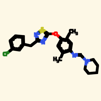 Cc1cc(Oc2nc(Cc3cccc(Cl)c3)ns2)c(C)cc1N=CN1CCCCC1